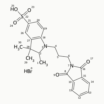 Br.CC1N(CCCN2C(=O)c3ccccc3C2=O)c2ccc(S(=O)(=O)O)cc2C1(C)C